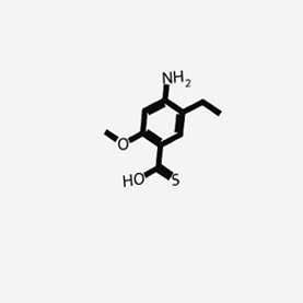 CCc1cc(C(O)=S)c(OC)cc1N